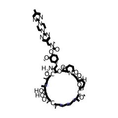 CO[C@H]1C[C@@H]2CC[C@@H](C)[C@@](O)(O2)C(=O)C(=O)N2CCCC[C@H]2C(=O)O[C@H]([C@H](N)C[C@@H]2CC[C@@H](OC(=O)N(C)Cc3cnc(N4CCN(c5ncc(C)cn5)CC4)nc3)[C@H](OC)C2)CC(=O)[C@H](C)/C=C(\C)[C@@H](O)[C@@H](O)C(=O)[C@H](C)C[C@H](C)/C=C/C=C/C=C/1C